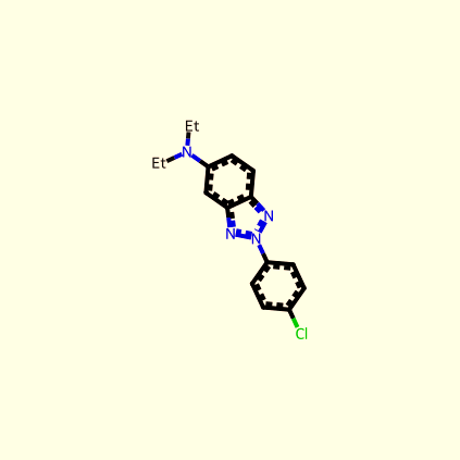 CCN(CC)c1ccc2nn(-c3ccc(Cl)cc3)nc2c1